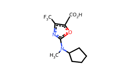 CN(c1nc(C(F)(F)F)c(C(=O)O)o1)C1CCCC1